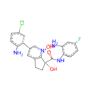 Nc1cc(F)ccc1NC(=O)C1(O)CCc2cc(-c3cc(Cl)ccc3N)c[n+](O)c21